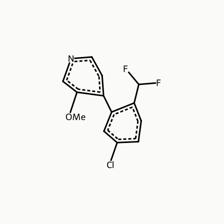 COc1cnccc1-c1cc(Cl)ccc1C(F)F